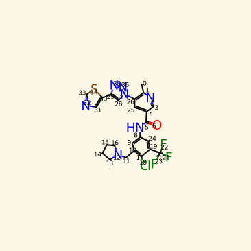 Cc1ncc(C(=O)Nc2cc(CN3CCCC3)c(Cl)c(C(F)(F)F)c2)cc1-n1cc(-c2cncs2)nn1